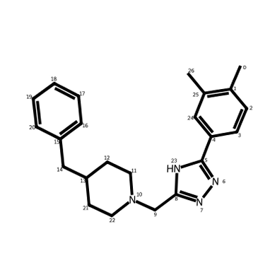 Cc1ccc(-c2nnc(CN3CCC(Cc4ccccc4)CC3)[nH]2)cc1C